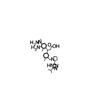 Cc1ccc(C(CC(=O)O)c2ccc(N(C)N)c(N)c2C)cc1CN1CCCC1c1nnc(C(C)C)[nH]1